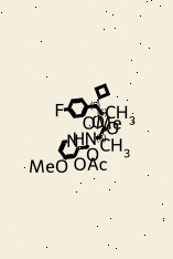 COc1cc(F)ccc1[C@H](C1CCC1)[C@H](C)OC(=O)[C@H](C)NC(=O)c1nccc(OC)c1OC(C)=O